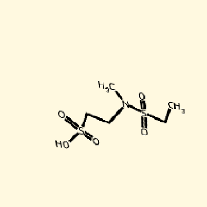 CCS(=O)(=O)N(C)CCS(=O)(=O)O